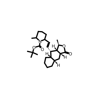 CC1CCCC(C=C[C@H]2[C@H]3CCCC[C@H]3C[C@H]3C(=O)O[C@H](C)[C@@H]23)N1C(=O)OC(C)(C)C